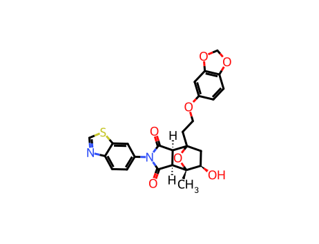 C[C@@]12OC(CCOc3ccc4c(c3)OCO4)(C[C@H]1O)[C@@H]1C(=O)N(c3ccc4ncsc4c3)C(=O)[C@@H]12